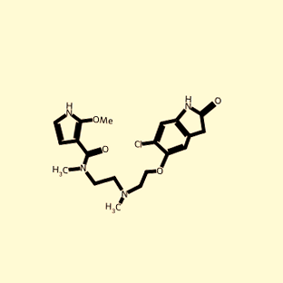 COc1[nH]ccc1C(=O)N(C)CCN(C)CCOc1cc2c(cc1Cl)NC(=O)C2